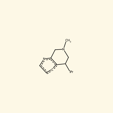 CC(C)C1CN(C)Cc2ncccc21